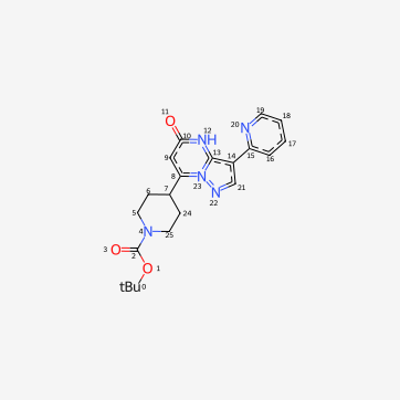 CC(C)(C)OC(=O)N1CCC(c2cc(=O)[nH]c3c(-c4ccccn4)cnn23)CC1